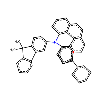 CC1(C)c2ccccc2-c2cc(N(c3ccc(-c4ccccc4)cc3)c3cccc4ccc5ccc6ccccc6c5c34)ccc21